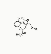 CCOCc1nc2cnc3ccccc3c2n1CC1(NC(=O)O)CC1